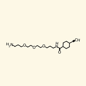 C#CC1CCC(C(=O)NCCCOCCOCCOCCCN)CC1